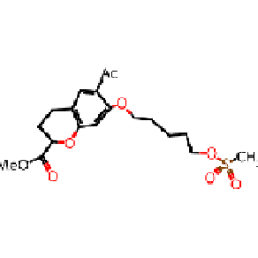 COC(=O)C1CCc2cc(C(C)=O)c(OCCCCCOS(C)(=O)=O)cc2O1